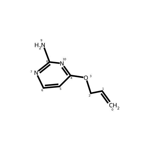 C=CCOc1ccnc(N)n1